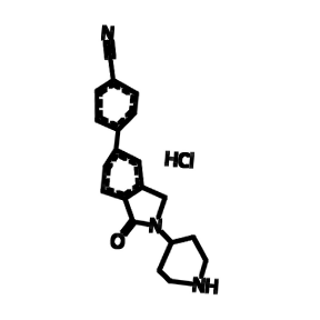 Cl.N#Cc1ccc(-c2ccc3c(c2)CN(C2CCNCC2)C3=O)cc1